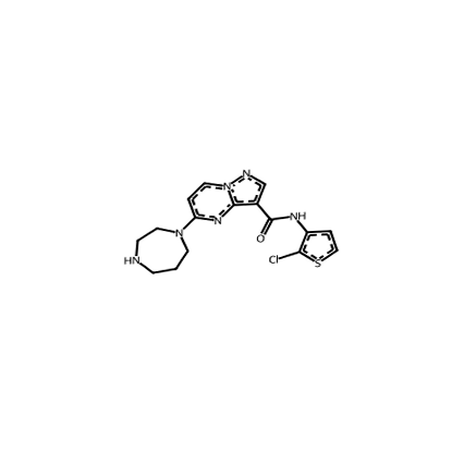 O=C(Nc1ccsc1Cl)c1cnn2ccc(N3CCCNCC3)nc12